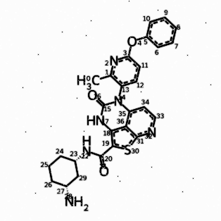 Cc1nc(Oc2ccccc2)ccc1N1C(=O)Nc2c(C(=O)N[C@H]3CCC[C@@H](N)C3)sc3nccc1c23